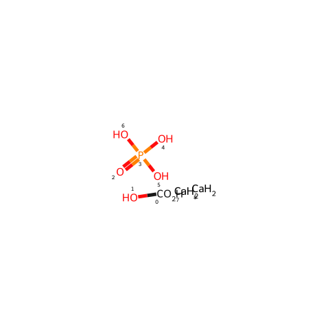 O=C(O)O.O=P(O)(O)O.[CaH2].[CaH2]